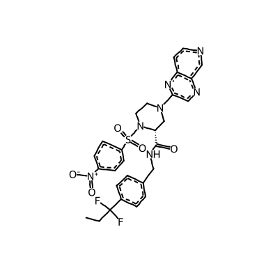 CCC(F)(F)c1ccc(CNC(=O)[C@H]2CN(c3cnc4cnccc4n3)CCN2S(=O)(=O)c2ccc([N+](=O)[O-])cc2)cc1